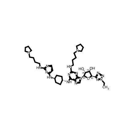 CCn1nnc([C@H]2O[C@@H](n3cnc4c(N[C@H]5CC[C@H](Nc6ccnc(NCCCCN7CCCC7)n6)CC5)nc(NCCCCN5CCCC5)nc43)[C@H](O)[C@@H]2O)n1